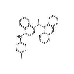 Cc1ccc(Nc2ccc(C(C)c3c4ccccc4cc4ccccc34)c3ccccc23)cc1